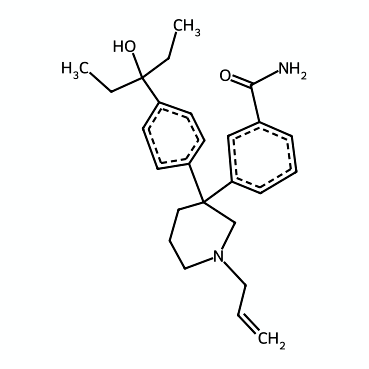 C=CCN1CCCC(c2ccc(C(O)(CC)CC)cc2)(c2cccc(C(N)=O)c2)C1